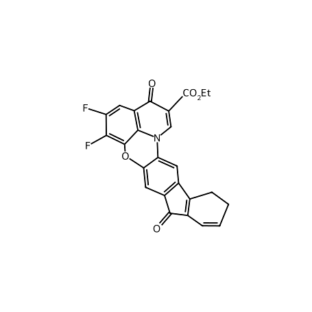 CCOC(=O)c1cn2c3cc4c5c(c(=O)c4cc3oc3c(F)c(F)cc(c1=O)c32)C=CCC5